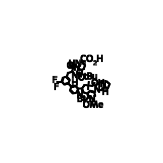 CCn1c(-c2cc(N3CCN4CCC[C@@H]4C3)cnc2C(C)OC)c(CC(C)(C)CO)c2cc(-c3cc(CC(NC(=O)OC(C)(C)C)C(=O)N4CCC[C@@H](C(=O)O)N4)cc(C(F)F)c3)ccc21